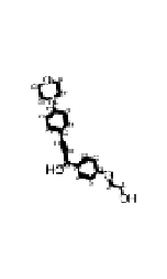 OCCOc1ccc(C(O)C#Cc2ccc(N3CCOCC3)cc2)cc1